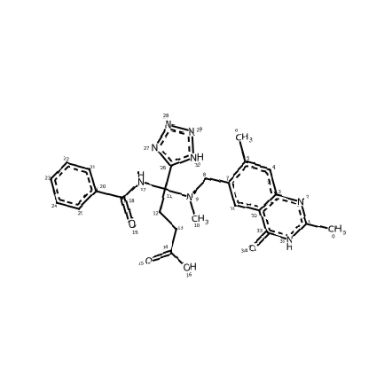 Cc1nc2cc(C)c(CN(C)C(CCC(=O)O)(NC(=O)c3ccccc3)c3nnn[nH]3)cc2c(=O)[nH]1